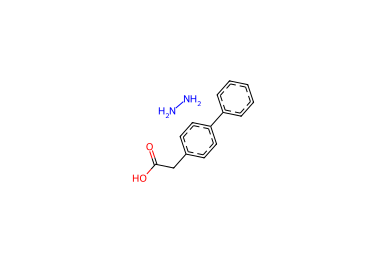 NN.O=C(O)Cc1ccc(-c2ccccc2)cc1